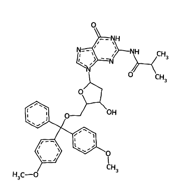 COc1ccc(C(OCC2OC(n3cnc4c(=O)[nH]c(NC(=O)C(C)C)nc43)CC2O)(c2ccccc2)c2ccc(OC)cc2)cc1